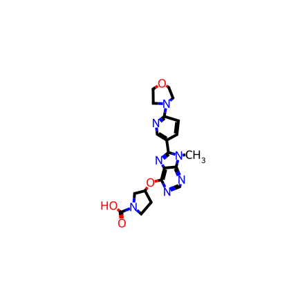 Cn1c(-c2ccc(N3CCOCC3)nc2)nc2c(OC3CCN(C(=O)O)C3)ncnc21